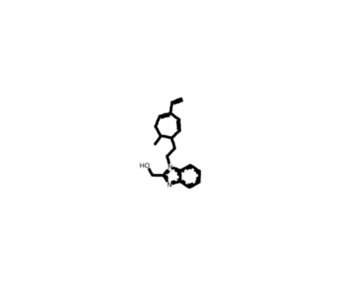 C=CC1=CCC(C)C(CCn2c(CO)nc3ccccc32)C=C1